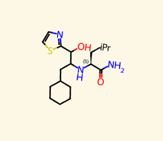 CC(C)C[C@H](NC(CC1CCCCC1)C(O)c1nccs1)C(N)=O